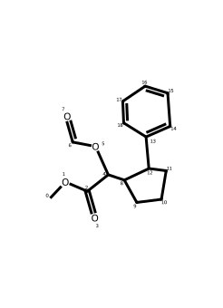 COC(=O)C(OC=O)C1CCCC1c1ccccc1